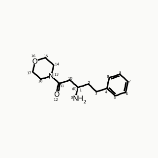 N[C@H](CCc1ccccc1)CC(=O)N1CCOCC1